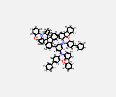 c1ccc(-c2ccc(N(c3cc(-c4cccc5c4-c4ccccc4C54c5ccccc5N5c6ccccc6Oc6cccc4c65)cc(N(c4ccc(-c5ccccc5)cc4)c4cccc5c4oc4ccccc45)c3)c3cccc4c3oc3ccccc34)cc2)cc1